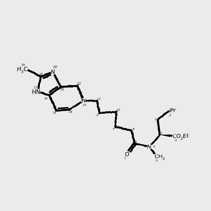 CCOC(=O)[C@H](CC(C)C)N(C)C(=O)CCCCCN1C=Cc2[nH]c(C)nc2C1